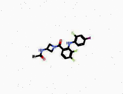 CC(C)C(=O)NC1CN(C(=O)c2ccc(F)c(F)c2Nc2ccc(I)cc2F)C1